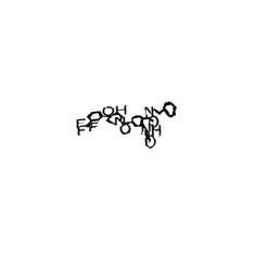 CN(CCc1ccccc1)C(=O)c1ccc(C(=O)N2CCC(O)(c3cccc(C(F)(F)F)c3)CC2)cc1NC=O